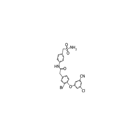 N#Cc1cc(Cl)cc(Oc2ccc(CC(=O)Nc3ccc(CS(N)(=O)=O)cc3)cc2Br)c1